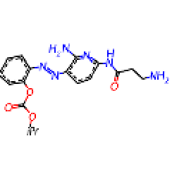 CC(C)OC(=O)Oc1ccccc1/N=N/c1ccc(NC(=O)CCN)nc1N